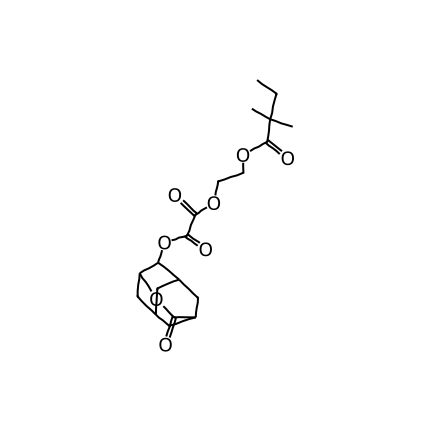 CCC(C)(C)C(=O)OCCOC(=O)C(=O)OC1C2CC3CC(C2)C(=O)OC1C3